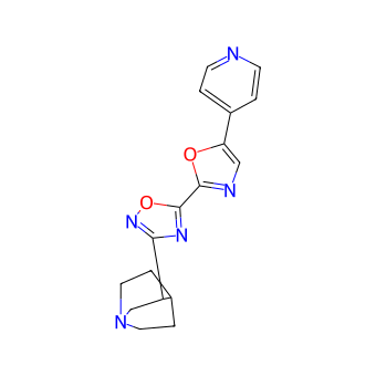 c1cc(-c2cnc(-c3nc(C4CN5CCC4CC5)no3)o2)ccn1